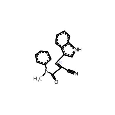 CN(C(=O)/C(C#N)=C/c1c[nH]c2ccccc12)c1ccccc1